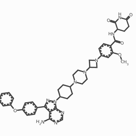 COc1cc(N2CC(N3CCN(C4CCC(n5nc(-c6ccc(Oc7ccccc7)cc6)c6c(N)ncnc65)CC4)CC3)C2)ccc1C(=O)NC1CCC(=O)NC1=O